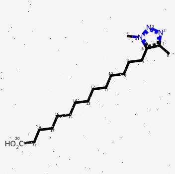 Cc1nnn(C)c1CCCCCCCCCCCCCC(=O)O